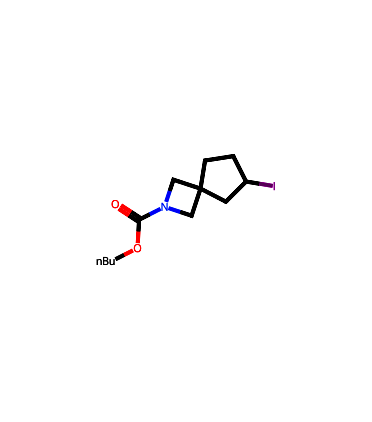 CCCCOC(=O)N1CC2(CCC(I)C2)C1